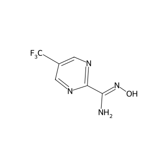 NC(=NO)c1ncc(C(F)(F)F)cn1